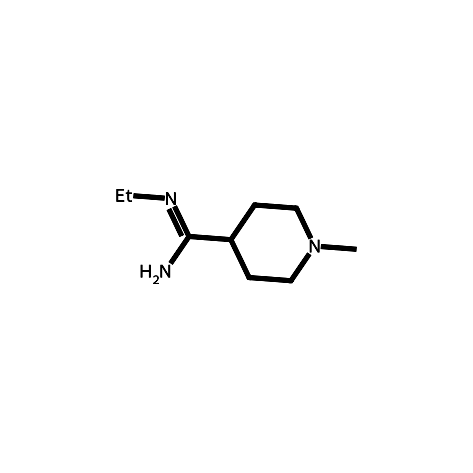 CC/N=C(\N)C1CCN(C)CC1